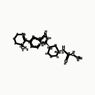 CN1CCCN=C1c1ccn2c([C@H]3CCC[C@@H](NC(=O)OC(C)(C)C)C3)nnc2c1